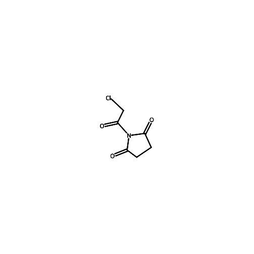 O=C(CCl)N1C(=O)CCC1=O